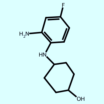 Nc1cc(F)ccc1NC1CCC(O)CC1